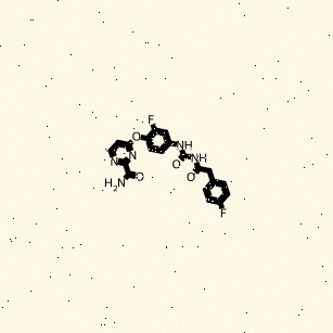 NC(=O)c1n[c]cc(Oc2ccc(NC(=O)NC(=O)Cc3ccc(F)cc3)cc2F)n1